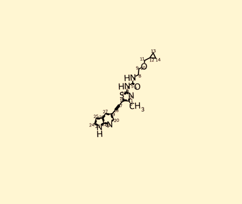 Cc1nc(NC(=O)NCCOCC2CC2)sc1C#Cc1cnc2[nH]ccc2c1